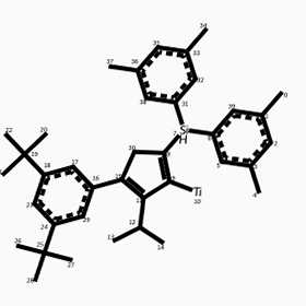 Cc1cc(C)cc([SiH](C2=[C]([Ti])C(C(C)C)=C(c3cc(C(C)(C)C)cc(C(C)(C)C)c3)C2)c2cc(C)cc(C)c2)c1